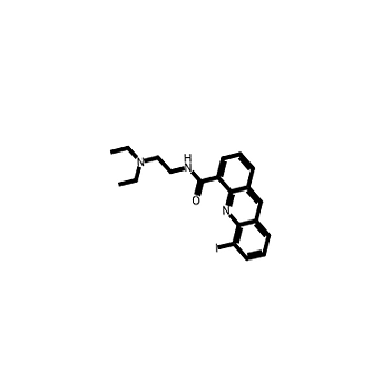 CCN(CC)CCNC(=O)c1cccc2cc3cccc(I)c3nc12